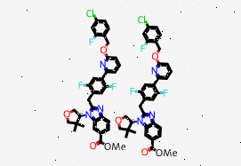 COC(=O)c1ccc2nc(Cc3cc(F)c(-c4cccc(OCc5ccc(Cl)cc5F)n4)cc3F)n([C@@H]3COCC3(C)C)c2c1.COC(=O)c1ccc2nc(Cc3cc(F)c(-c4cccc(OCc5ccc(Cl)cc5F)n4)cc3F)n([C@@H]3COCC3(C)C)c2c1